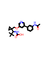 CC(=O)Nc1cccc(-c2cncc(OCC3(C(NC(=O)O)C(C)(C)C)CC3)c2)c1